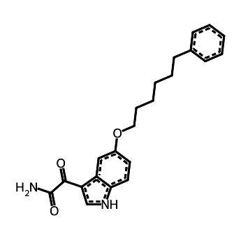 NC(=O)C(=O)c1c[nH]c2ccc(OCCCCCCc3ccccc3)cc12